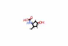 CC1CC(O)CC1NC(=O)O